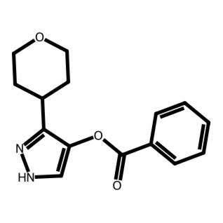 O=C(Oc1c[nH]nc1C1CCOCC1)c1ccccc1